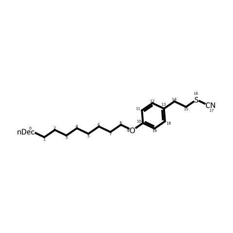 CCCCCCCCCCCCCCCCCCOc1ccc(CCSC#N)cc1